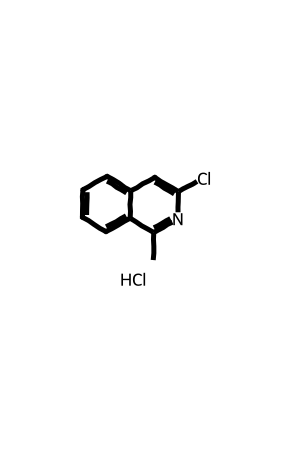 Cc1nc(Cl)cc2ccccc12.Cl